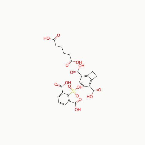 O=C(O)CCCCC(=O)O.O=C(O)c1ccc(C(=O)O)c2c1CC2.O=C(O)c1cccc(C(=O)O)c1S(=O)(=O)O